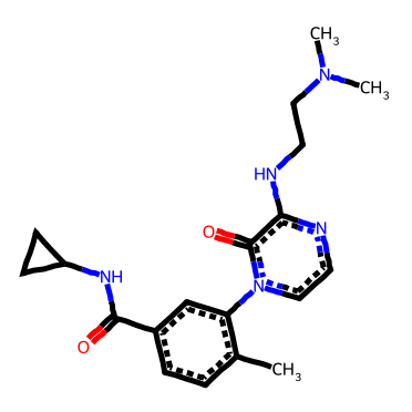 Cc1ccc(C(=O)NC2CC2)cc1-n1ccnc(NCCN(C)C)c1=O